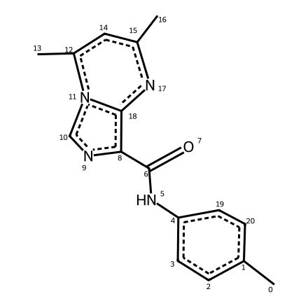 Cc1ccc(NC(=O)c2ncn3c(C)cc(C)nc23)cc1